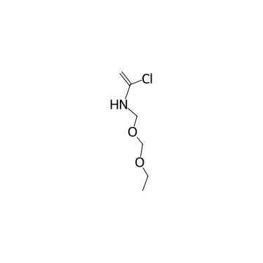 C=C(Cl)NCOCOCC